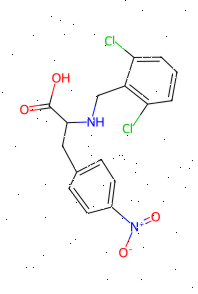 O=C(O)C(Cc1ccc([N+](=O)[O-])cc1)NCc1c(Cl)cccc1Cl